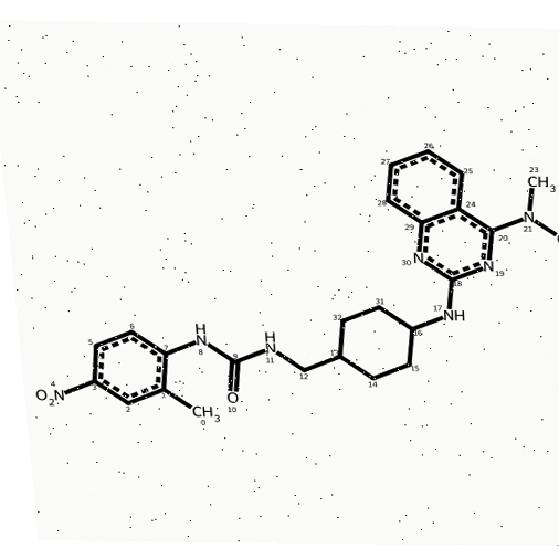 Cc1cc([N+](=O)[O-])ccc1NC(=O)NCC1CCC(Nc2nc(N(C)C)c3ccccc3n2)CC1